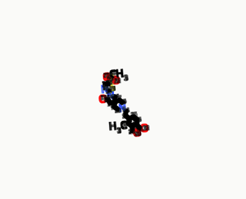 Cc1c(CCN2CCC3(CC2)CC(=O)N(c2ncc(S(C)(=O)=O)s2)C3)ccc2c1COC2=O